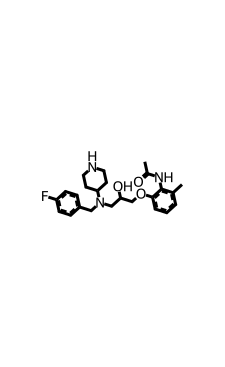 CC(=O)Nc1c(C)cccc1OCC(O)CN(Cc1ccc(F)cc1)C1CCNCC1